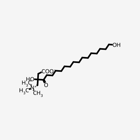 C[N+](C)(C)CC(O)(CC(=O)[O-])C(=O)CCCCCCCCCCCCCCCO